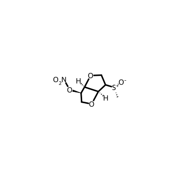 C[S@@+]([O-])C1CO[C@H]2[C@@H]1OC[C@H]2O[N+](=O)[O-]